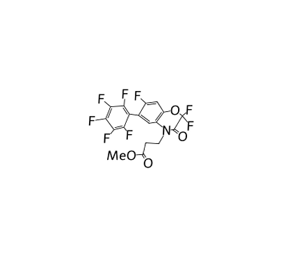 COC(=O)CCN1C(=O)C(F)(F)Oc2cc(F)c(-c3c(F)c(F)c(F)c(F)c3F)cc21